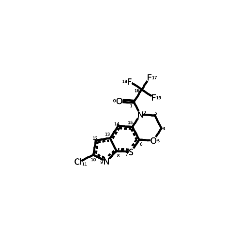 O=C(N1CCOc2sc3nc(Cl)cc-3cc21)C(F)(F)F